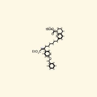 CCOC(=O)/C=C(/CCCCCCc1ccc2c(n1)N(C(=O)OC(C)(C)C)CCC2)c1ccc(OCc2ccccc2)nc1